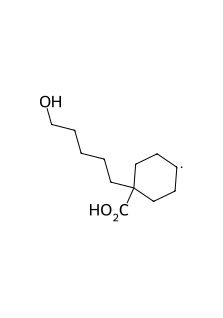 O=C(O)C1(CCCCCO)CC[CH]CC1